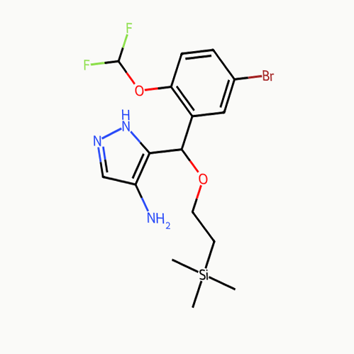 C[Si](C)(C)CCOC(c1cc(Br)ccc1OC(F)F)c1[nH]ncc1N